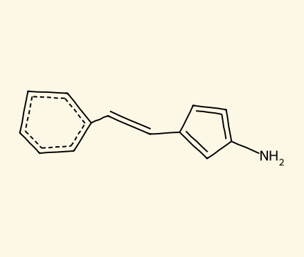 NC1=C=CC(C=Cc2ccccc2)=C1